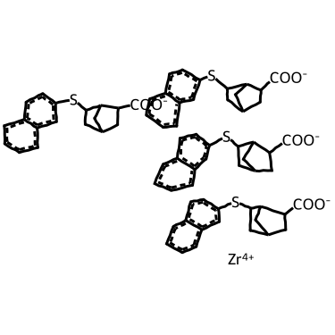 O=C([O-])C1CC2CC(Sc3ccc4ccccc4c3)C1C2.O=C([O-])C1CC2CC(Sc3ccc4ccccc4c3)C1C2.O=C([O-])C1CC2CC(Sc3ccc4ccccc4c3)C1C2.O=C([O-])C1CC2CC(Sc3ccc4ccccc4c3)C1C2.[Zr+4]